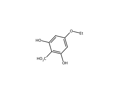 CCOc1cc(O)c(C(=O)O)c(O)c1